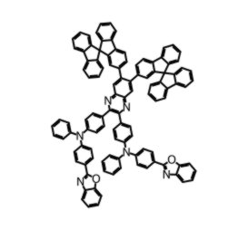 c1ccc(N(c2ccc(-c3nc4ccccc4o3)cc2)c2ccc(-c3nc4cc(-c5ccc6c(c5)C5(c7ccccc7-c7ccccc75)c5ccccc5-6)c(-c5ccc6c(c5)C5(c7ccccc7-c7ccccc75)c5ccccc5-6)cc4nc3-c3ccc(N(c4ccccc4)c4ccc(-c5nc6ccccc6o5)cc4)cc3)cc2)cc1